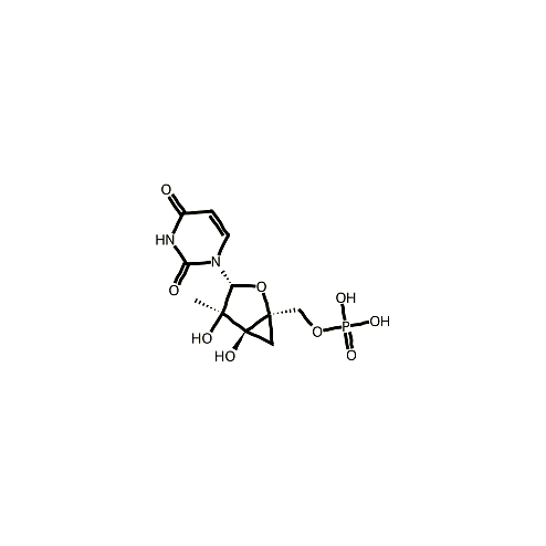 C[C@]1(O)[C@H](n2ccc(=O)[nH]c2=O)O[C@@]2(COP(=O)(O)O)C[C@@]21O